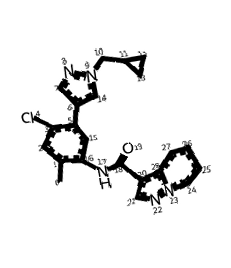 Cc1cc(Cl)c(-c2cnn(CC3CC3)c2)cc1NC(=O)c1cnn2ccccc12